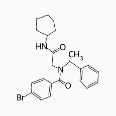 CC(c1ccccc1)N(CC(=O)NC1CCCCC1)C(=O)c1ccc(Br)cc1